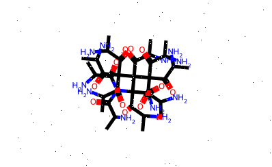 CC(N)C(=O)N(C(=O)C(C)N)C(C(N)=O)(C(=O)C(C)N)C(C(=O)C(C)N)(C(C(=O)C(C)N)(C(=O)C(C)N)C(=O)C(C)N)C(C(=O)C(C)N)(C(=O)C(C)N)C(=O)C(C)N